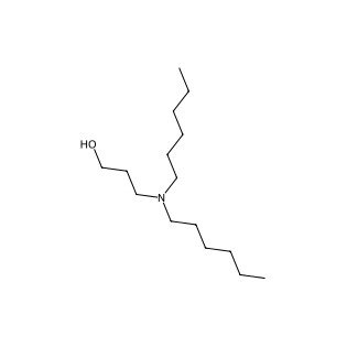 CCCCCCN(CCCO)CCCCCC